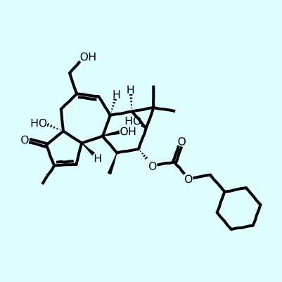 CC1=C[C@H]2[C@@]3(O)[C@H](C)[C@@H](OC(=O)OCC4CCCCC4)[C@]4(O)[C@@H]([C@@H]3C=C(CO)C[C@]2(O)C1=O)C4(C)C